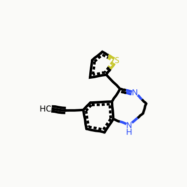 C#Cc1ccc2c(c1)C(c1cccs1)=NCCN2